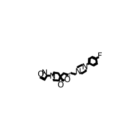 O=C1O[C@@H](CCN2CCN(c3ccc(F)cc3)CC2)CC12CCN(c1ccon1)CC2